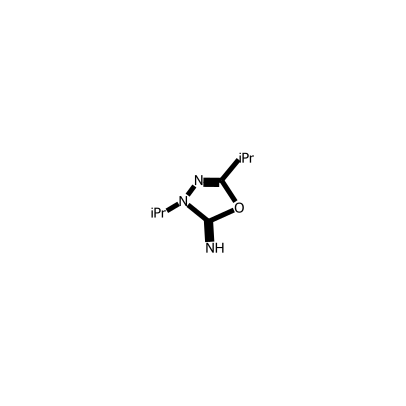 CC(C)c1nn(C(C)C)c(=N)o1